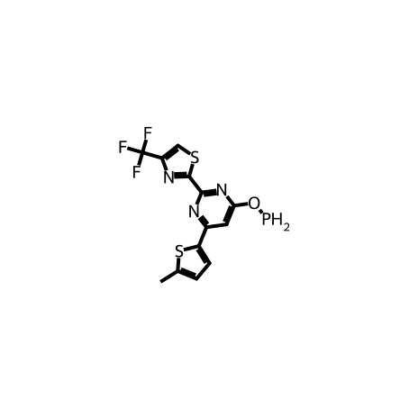 Cc1ccc(-c2cc(OP)nc(-c3nc(C(F)(F)F)cs3)n2)s1